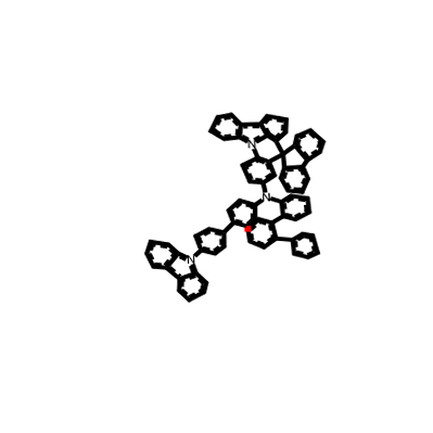 c1ccc(-c2ccccc2-c2ccccc2N(c2ccc(-c3ccc(-n4c5ccccc5c5ccccc54)cc3)cc2)c2ccc3c(c2)C2(c4ccccc4-c4ccccc42)c2cccc4c5ccccc5n-3c24)cc1